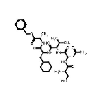 CC(C)[C@H](NC(=O)[C@H](CC(N)=O)NC(=O)[C@@H](N)CO)C(=O)N[C@@H](CC1CCCCC1)C(=O)N[C@@H](C)C(=O)OCc1ccccc1